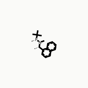 C[C@@H](c1cccc2ccccc12)N(C)[P@](C)C(C)(C)C